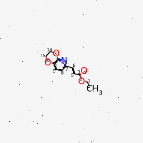 CCOC(=O)/C=C/c1ccc2c(n1)OCCO2